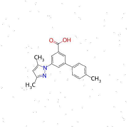 Cc1ccc(-c2cc(C(=O)O)cc(-n3nc(C)cc3C)c2)cc1